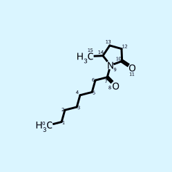 CCCCCCCC(=O)N1C(=O)CCC1C